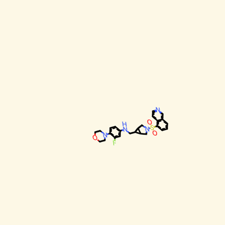 O=S(=O)(c1cccc2cnccc12)N1CC2C(CNc3ccc(N4CCOCC4)c(F)c3)C2C1